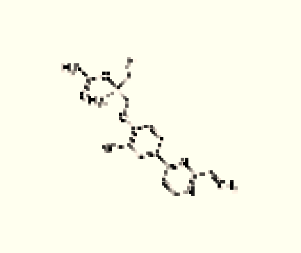 C=Cc1nccc(-c2ccc(OC[C@](C)(CC(C)C)OC(N)=O)c(C#N)c2)n1